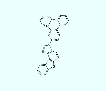 c1ccc2c(c1)sc1ccc3c(ccn3-c3ccc4c5ccccc5c5ccccc5c4c3)c12